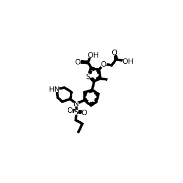 CCCS(=O)(=O)N(c1cccc(-c2sc(C(=O)O)c(OCC(=O)O)c2C)c1)C1CCNCC1